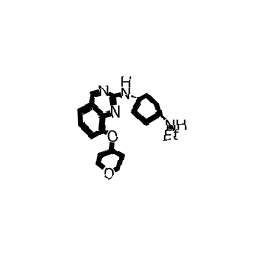 CCN[C@H]1CC[C@H](Nc2ncc3cccc(OC4CCOCC4)c3n2)CC1